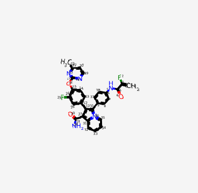 C=C(F)C(=O)Nc1ccc(-c2c(-c3ccc(Oc4nccc(C)n4)c(F)c3)c(C(N)=O)c3ccccn23)cc1